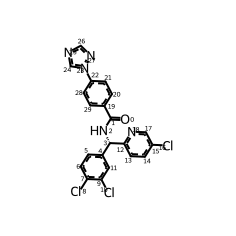 O=C(N[C@@H](c1ccc(Cl)c(Cl)c1)c1ccc(Cl)cn1)c1ccc(-n2cncn2)cc1